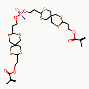 C=C(C)C(=O)OCCC1SCC2(CS1)CSC(CCOP(C)(=O)OCCC1SCC3(CSC(CCOC(=O)C(=C)C)SC3)CS1)SC2